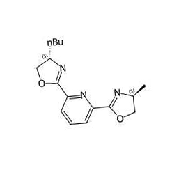 CCCC[C@H]1COC(c2cccc(C3=N[C@@H](C)CO3)n2)=N1